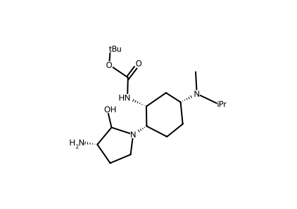 CC(C)N(C)[C@@H]1CC[C@H](N2CC[C@H](N)C2O)[C@H](NC(=O)OC(C)(C)C)C1